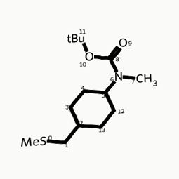 CSCC1CCC(N(C)C(=O)OC(C)(C)C)CC1